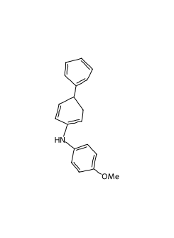 COc1ccc(NC2=CCC(c3ccccc3)C=C2)cc1